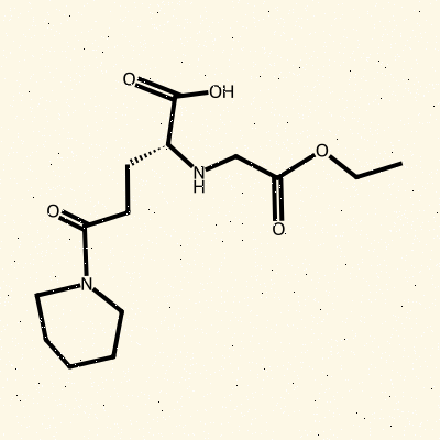 CCOC(=O)CN[C@H](CCC(=O)N1CCCCC1)C(=O)O